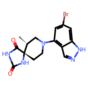 C[C@@H]1CN(c2cc(Br)cc3[nH]ncc23)CC[C@]12NC(=O)NC2=O